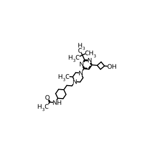 CC(=O)NC1CCC(CCN2CCN(c3cc(C4CC(O)C4)nc(C(C)(C)C)n3)CC2C)CC1